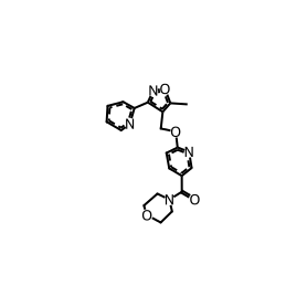 Cc1onc(-c2ccccn2)c1COc1ccc(C(=O)N2CCOCC2)cn1